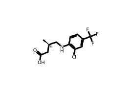 C[C@@H](CNc1ccc(C(F)(F)F)cc1Cl)CC(=O)O